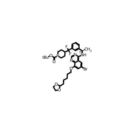 C[C@@H](Nc1ncnc2c(OCCCCCC3OCCO3)cc(Br)cc12)c1cccc(C(F)(F)C2CCN(C(=O)OC(C)(C)C)CC2)c1